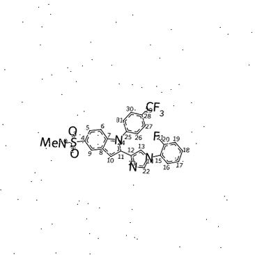 CNS(=O)(=O)c1ccc2c(c1)cc(-c1cn(-c3ccccc3F)cn1)n2-c1ccc(C(F)(F)F)cc1